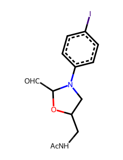 CC(=O)NCC1CN(c2ccc(I)cc2)C(C=O)O1